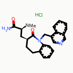 CN[C@@H](C[C@@H]1CCc2ccccc2N(Cc2cncc3ccccc23)C1=O)C(N)=O.Cl